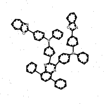 c1ccc(-c2ccc(-c3ccccc3)c3nc(-c4ccc(N(c5ccccc5)c5ccc(-c6nc7ccccc7o6)cc5)cc4)c(-c4ccc(N(c5ccccc5)c5ccc(-c6nc7ccccc7o6)cc5)cc4)nc23)cc1